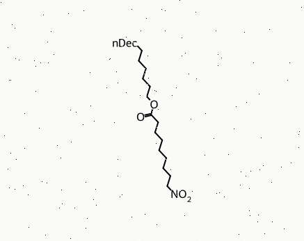 CCCCCCCCCCCCCCCCOC(=O)CCCCCCCC[N+](=O)[O-]